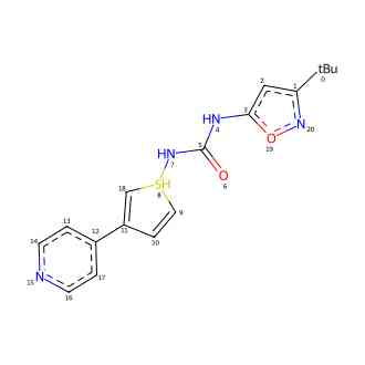 CC(C)(C)c1cc(NC(=O)N[SH]2C=CC(c3ccncc3)=C2)on1